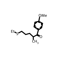 CCSCCCC(C)C(=O)c1ccc(OC)cc1